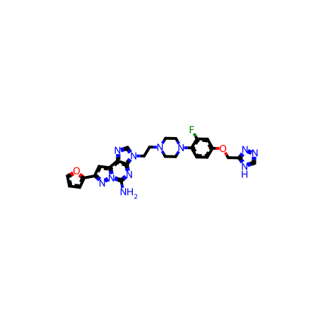 Nc1nc2c(ncn2CCN2CCN(c3ccc(OCc4nnc[nH]4)cc3F)CC2)c2cc(-c3ccco3)nn12